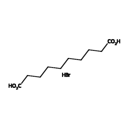 Br.O=C(O)CCCCCCCCC(=O)O